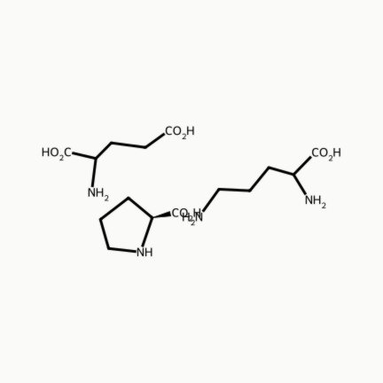 NC(CCC(=O)O)C(=O)O.NCCCC(N)C(=O)O.O=C(O)[C@@H]1CCCN1